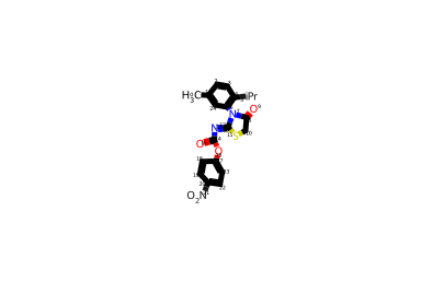 Cc1ccc(C(C)C)c(N2C(=O)CSC2=NC(=O)Oc2ccc([N+](=O)[O-])cc2)c1